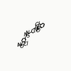 CN(C)C(=O)c1ccc(-c2nnc(C3CCN(S(=O)(=O)c4ccccc4Cl)CC3)s2)cc1Cl